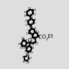 CCOC(=O)c1cc2cc(-c3ccc(-c4ccccc4)cc3)ccc2c2c1C=CC(c1ccccc1)(c1ccc(N3CCCC3)cc1)O2